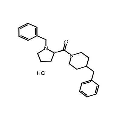 Cl.O=C([C@H]1CCCN1Cc1ccccc1)N1CCC(Cc2ccccc2)CC1